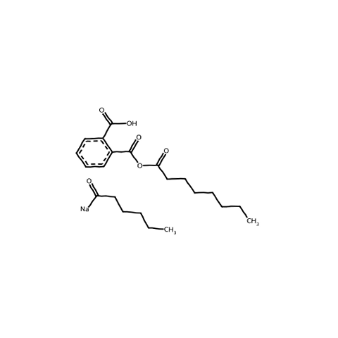 CCCCCCCC(=O)OC(=O)c1ccccc1C(=O)O.CCCCC[C](=O)[Na]